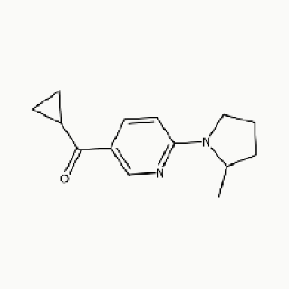 CC1CCCN1c1ccc(C(=O)C2CC2)cn1